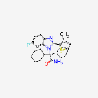 Cc1ccsc1-c1nc2ccc(F)cc2n1C(C(N)=O)(C1CCCCC1)C1CCCCC1